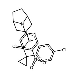 O=C(NC1CC2CCC(C1)N2c1ccc([N+](=O)[O-])cn1)C1(c2ccc(Cl)cc2)CC1